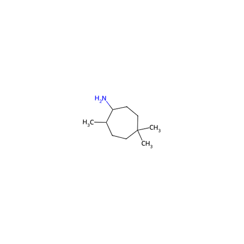 CC1CCC(C)(C)CCC1N